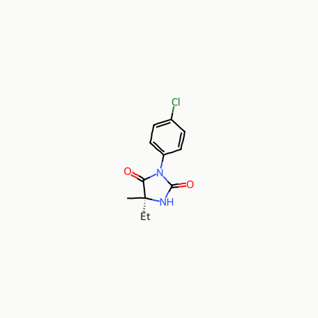 CC[C@@]1(C)NC(=O)N(c2ccc(Cl)cc2)C1=O